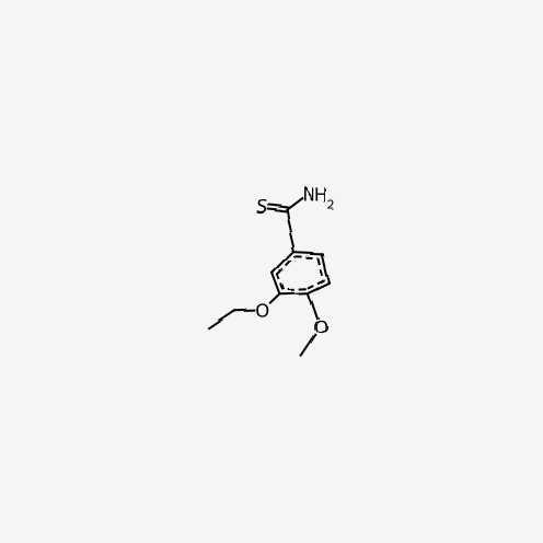 CCOc1cc(C(N)=S)ccc1OC